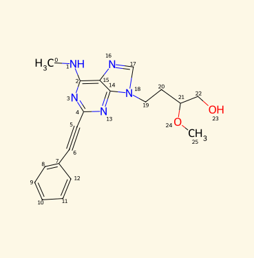 CNc1nc(C#Cc2ccccc2)nc2c1ncn2CCC(CO)OC